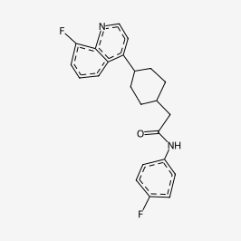 O=C(CC1CCC(c2ccnc3c(F)cccc23)CC1)Nc1ccc(F)cc1